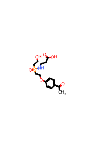 CC(=O)c1ccc(OCCP(=O)(CCO)NCCC(=O)O)cc1